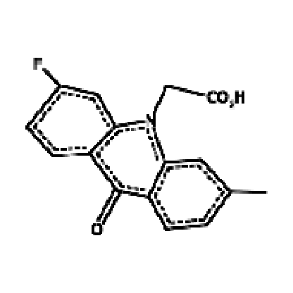 Cc1ccc2c(=O)c3ccc(F)cc3n(CC(=O)O)c2c1